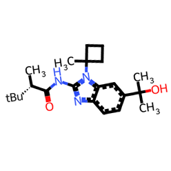 C[C@H](C(=O)Nc1nc2ccc(C(C)(C)O)cc2n1C1(C)CCC1)C(C)(C)C